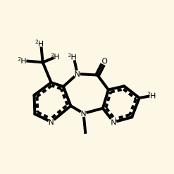 [2H]c1cnc2c(c1)C(=O)N([2H])c1c(C([2H])([2H])[2H])ccnc1N2C